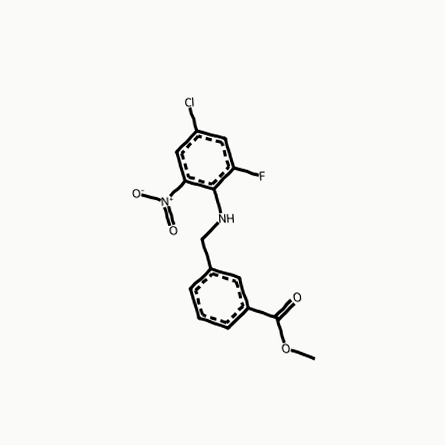 COC(=O)c1cccc(CNc2c(F)cc(Cl)cc2[N+](=O)[O-])c1